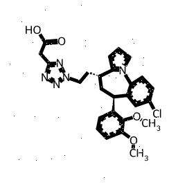 COc1cccc([C@H]2C[C@H](CCn3nnc(CC(=O)O)n3)c3cccn3-c3ccc(Cl)cc32)c1OC